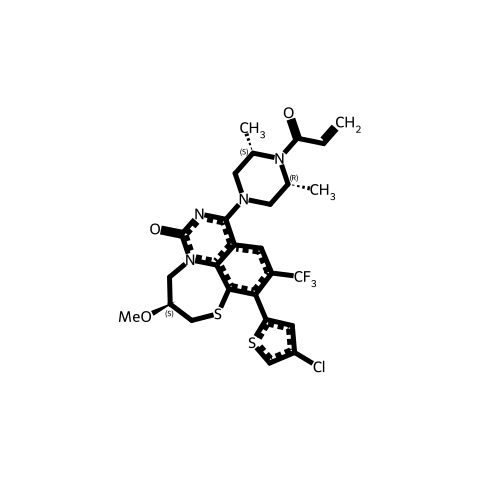 C=CC(=O)N1[C@H](C)CN(c2nc(=O)n3c4c(c(-c5cc(Cl)cs5)c(C(F)(F)F)cc24)SC[C@@H](OC)C3)C[C@@H]1C